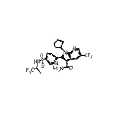 C[C@H](NS(=O)(=O)c1ccc(-c2c(C(N)=O)c3cc(C(F)(F)F)cnc3n2C2CCCC2)nc1)C(F)(F)F